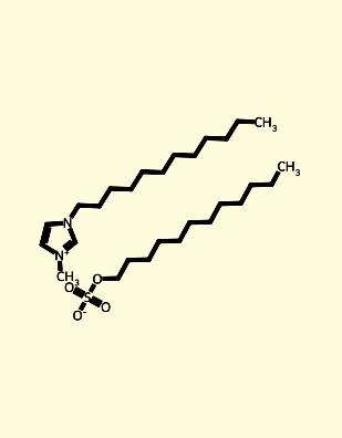 CCCCCCCCCCCCOS(=O)(=O)[O-].CCCCCCCCCCCCn1cc[n+](C)c1